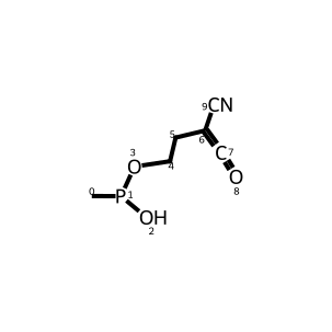 CP(O)OCCC(=C=O)C#N